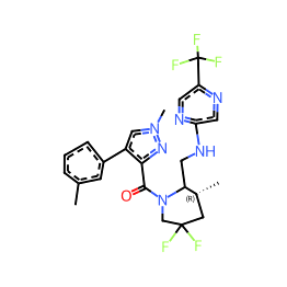 Cc1cccc(-c2cn(C)nc2C(=O)N2CC(F)(F)C[C@@H](C)C2CNc2cnc(C(F)(F)F)cn2)c1